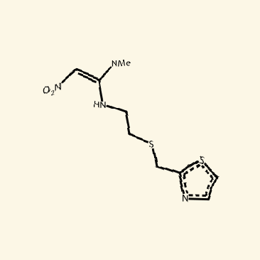 CN/C(=C/[N+](=O)[O-])NCCSCc1nccs1